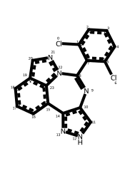 Clc1cccc(Cl)c1C1=Nc2c[nH]nc2-c2cccc3cnn1c23